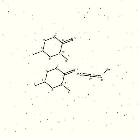 CN1CSC(=S)N(C)C1.CN1CSC(=S)N(C)C1.CN=C=S